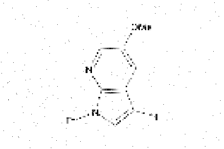 CCn1cc(I)c2cc(OC)cnc21